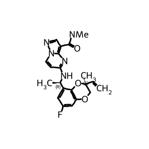 C=C[C@@]1(C)COc2cc(F)cc([C@@H](C)Nc3ccn4ncc(C(=O)NC)c4n3)c2O1